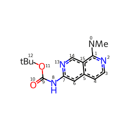 CNc1nccc2cc(NC(=O)OC(C)(C)C)ncc12